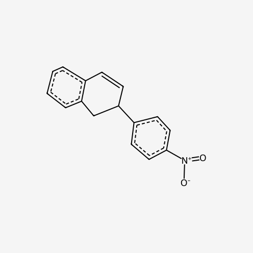 O=[N+]([O-])c1ccc(C2C=Cc3ccccc3C2)cc1